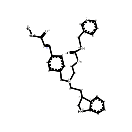 O=C(/C=C/c1ccc(CN(CCOC(=O)NCc2cccnc2)CCC2CNc3ccccc32)cc1)NO